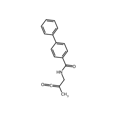 CC(=C=O)CNC(=O)c1ccc(-c2ccccc2)cc1